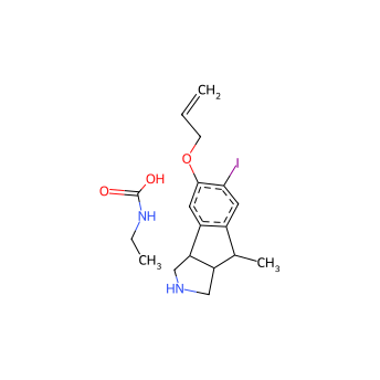 C=CCOc1cc2c(cc1I)C(C)C1CNCC21.CCNC(=O)O